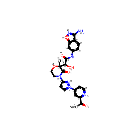 COC(=O)c1cc(-n2ccc(N3CCO[C@](C)(C(O)C(=O)Nc4ccc5c(N)noc5c4)C3=O)n2)ccn1